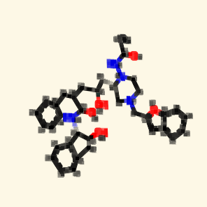 CC(C)(C)C(=O)NN1CCN(Cc2cc3ccccc3o2)C[C@@H]1CC(O)CC(Cc1ccccc1)C(=O)N[C@H]1c2ccccc2C[C@@H]1O